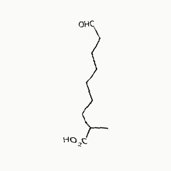 CC(CCCCCCC=O)C(=O)O